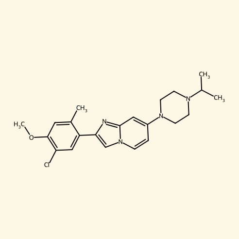 COc1cc(C)c(-c2cn3ccc(N4CCN(C(C)C)CC4)cc3n2)cc1Cl